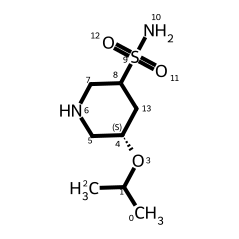 CC(C)O[C@@H]1CNCC(S(N)(=O)=O)C1